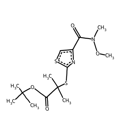 CON(C)C(=O)c1csc(SC(C)(C)C(=O)OC(C)(C)C)n1